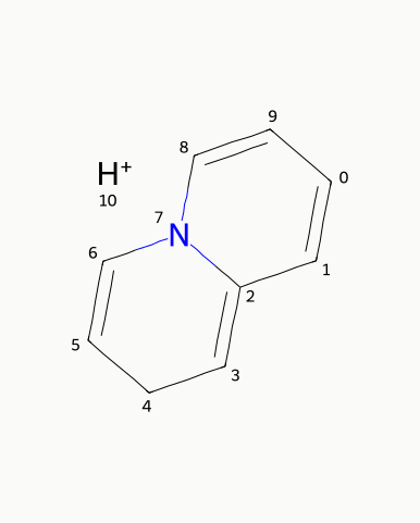 C1=CC2=CCC=CN2C=C1.[H+]